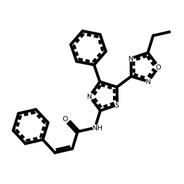 CCc1nc(-c2sc(NC(=O)/C=C\c3ccccc3)nc2-c2ccccc2)no1